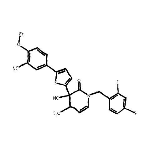 CCOc1ccc(-c2ccc(C3(C#N)C(=O)N(Cc4ccc(F)cc4F)C=CC3C(F)(F)F)s2)cc1C#N